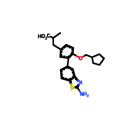 CC(Cc1ccc(OCC2CCCC2)c(-c2ccc3sc(N)nc3c2)c1)C(=O)O